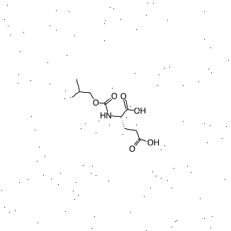 CC(C)COC(=O)N[C@@H](CCC(=O)O)C(=O)O